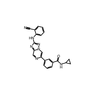 N#Cc1ccccc1Nc1nc2cnc(-c3cccc(C(=O)NC4CC4)c3)cn2n1